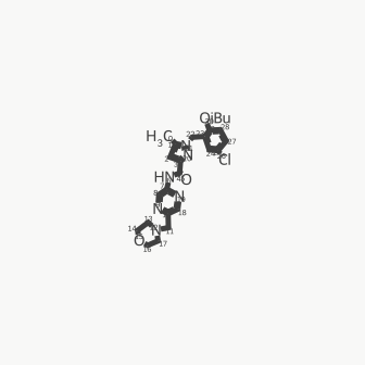 Cc1cc(C(=O)Nc2cnc(CN3CCOCC3)cn2)nn1Cc1cc(Cl)ccc1OCC(C)C